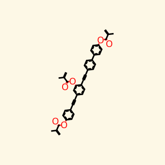 C=C(C)C(=O)Oc1ccc(C#Cc2ccc(C#Cc3ccc(-c4ccc(OC(=O)C(=C)C)cc4)cc3)c(OC(=O)C(=C)C)c2)cc1